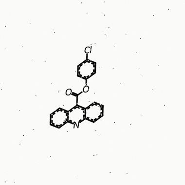 O=C(Oc1ccc(Cl)cc1)c1c2ccccc2nc2ccccc12